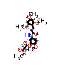 COC(=O)C(F)(F)C(=O)Oc1cc(NC(=O)/C=C/c2c(OC)cc(OC)cc2OC)ccc1OC